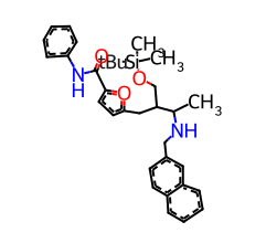 CC(NCc1ccc2ccccc2c1)C(CO[Si](C)(C)C(C)(C)C)Cc1ccc(C(=O)Nc2ccccc2)o1